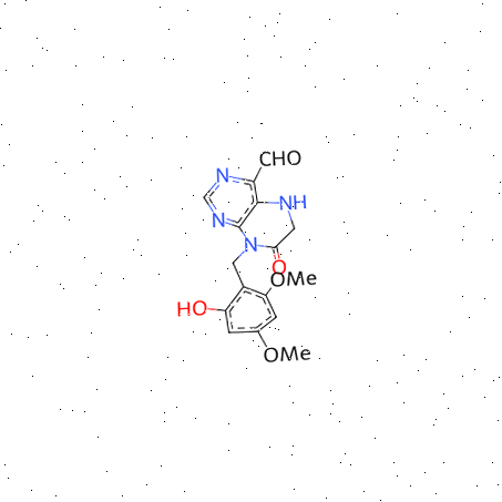 COc1cc(O)c(CN2C(=O)CNc3c(C=O)ncnc32)c(OC)c1